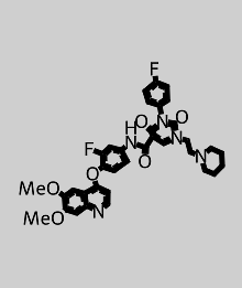 COc1cc2nccc(Oc3ccc(NC(=O)c4cn(CCN5CCCCC5)c(=O)n(-c5ccc(F)cc5)c4=O)cc3F)c2cc1OC